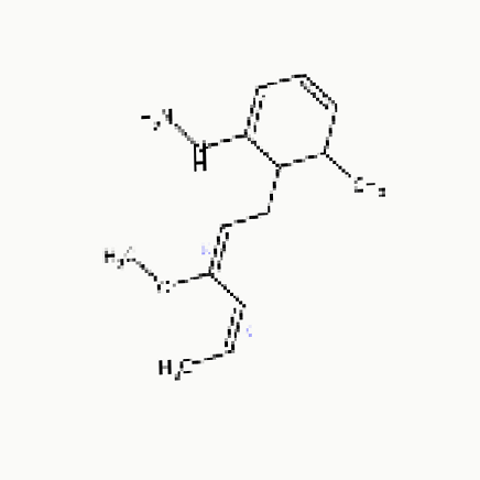 C/C=C\C(=C/CC1C(NN)=CC=CC1C)OC